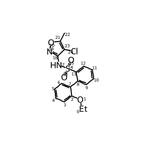 CCOc1ccccc1-c1ccccc1S(=O)(=O)Nc1noc(C)c1Cl